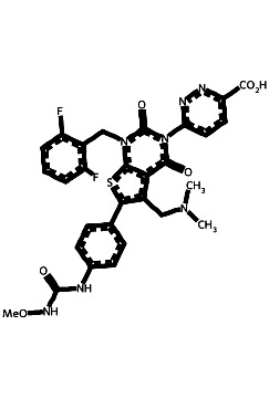 CONC(=O)Nc1ccc(-c2sc3c(c2CN(C)C)c(=O)n(-c2ccc(C(=O)O)nn2)c(=O)n3Cc2c(F)cccc2F)cc1